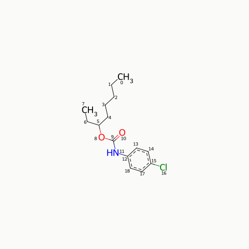 CCCCCC(CC)OC(=O)Nc1ccc(Cl)cc1